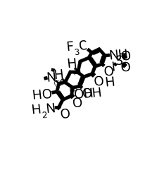 CN(C)[C@@H]1C(O)=C(C(N)=O)C(=O)[C@@]2(O)C(O)=C3C(=O)c4c(O)c(NS(=O)(=O)I)cc(C(F)(F)F)c4C[C@H]3C[C@@H]12